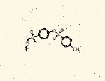 Cc1ccc(S(=O)(=O)Oc2ccc(S(=O)(=O)C=[N+]=[N-])cc2)cc1